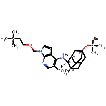 CCOC(=O)c1cnc2c(ccn2COCC[Si](C)(C)C)c1N[C@H]1[C@@H]2CC3C[C@H]1C[C@@](O[Si](C)(C)C(C)(C)C)(C3)C2